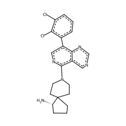 N[C@H]1CCCC12CCN(c1ncc(-c3cccc(Cl)c3Cl)c3ncncc13)CC2